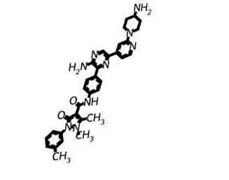 Cc1cccc(-n2c(=O)c(C(=O)Nc3ccc(-c4nc(-c5ccnc(N6CCC(N)CC6)c5)cnc4N)cc3)c(C)n2C)c1